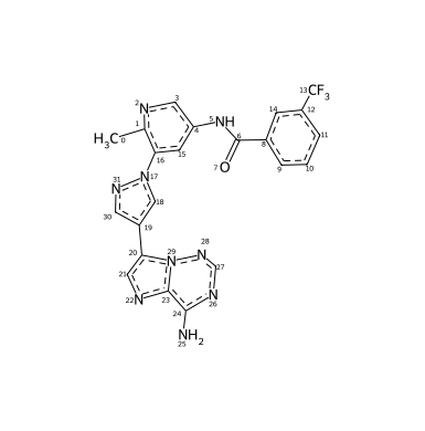 Cc1ncc(NC(=O)c2cccc(C(F)(F)F)c2)cc1-n1cc(-c2cnc3c(N)ncnn23)cn1